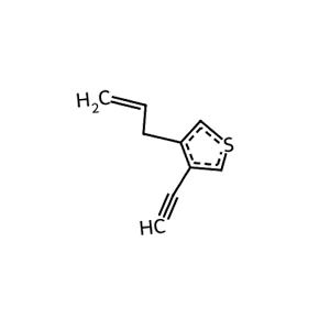 C#Cc1cscc1CC=C